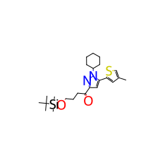 Cc1csc(-c2cc(C(=O)CCCO[Si](C)(C)C(C)(C)C)nn2C2CCCCC2)c1